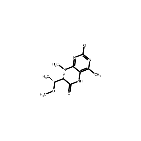 CO[C@H](C)[C@H]1C(=O)Nc2c(C)nc(Cl)nc2N1C